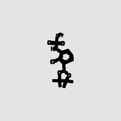 CCCS(=O)(=O)Nc1cccc(B2OC(C)(C)C(C)(C)O2)c1Cl